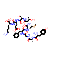 CSCC[C@H](NC(=O)[C@H](Cc1ccccc1)NC(=O)CNC(=O)[C@@H](C)NC(=O)[C@@H](N)Cc1ccc(O)cc1)C(=O)N[C@H](C(=O)N[C@@H](CO)C(=O)N[C@@H](CCC(=O)O)C(=O)N[C@@H](CCCCN)C(=O)O)[C@@H](C)O